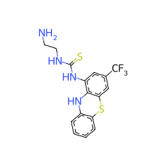 NCCNC(=S)Nc1cc(C(F)(F)F)cc2c1Nc1ccccc1S2